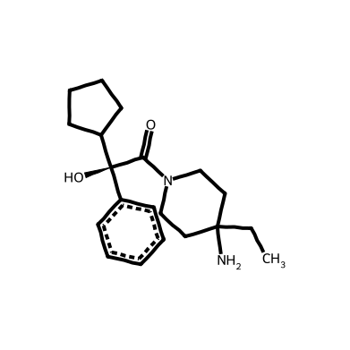 CCC1(N)CCN(C(=O)[C@](O)(c2ccccc2)C2CCCC2)CC1